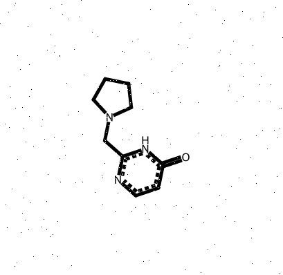 O=c1ccnc(CN2CCCC2)[nH]1